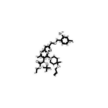 C=CCOC1(C)CCN(c2c([C@H](OC(C)(C)C)C(=O)OCC)c(C)nc3cc(COCc4ccc(C)cc4Br)nn23)CC1